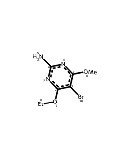 CCOc1nc(N)nc(OC)c1Br